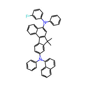 CC1(C)c2cc(N(c3ccccc3)c3cccc4ccccc34)ccc2-c2c1cc(N(c1ccccc1)c1cccc(F)c1)c1ccccc21